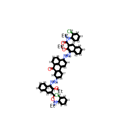 CCOc1c(CON(CC)c2ccccc2Cl)cc2ccccc2c1N=Nc1ccc2c(c1)C(=O)c1cccc3c(N=Nc4c(OCC)c(C(=O)N(CC)c5ccccc5Cl)cc5ccccc45)ccc-2c13